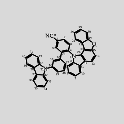 N#Cc1ccc(-n2c3ccccc3c3ccc4oc5ccccc5c4c32)c(-c2cccc(-n3c4ccccc4c4ccccc43)c2)c1